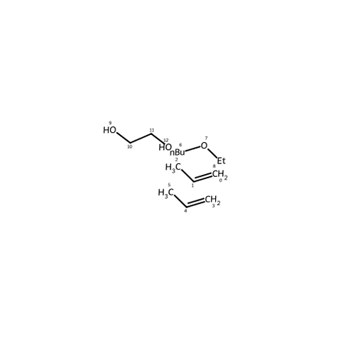 C=CC.C=CC.CCCCOCC.OCCO